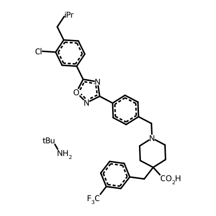 CC(C)(C)N.CC(C)Cc1ccc(-c2nc(-c3ccc(CN4CCC(Cc5cccc(C(F)(F)F)c5)(C(=O)O)CC4)cc3)no2)cc1Cl